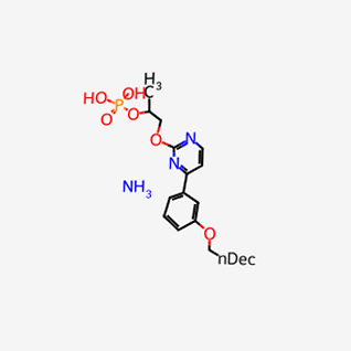 CCCCCCCCCCCOc1cccc(-c2ccnc(OCC(C)OP(=O)(O)O)n2)c1.N